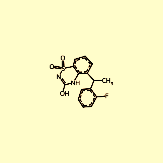 CC(c1ccccc1F)c1cccc2c1NC(O)=NS2(=O)=O